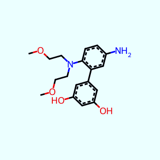 COCCN(CCOC)c1ccc(N)cc1-c1cc(O)cc(O)c1